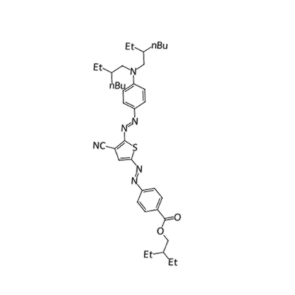 CCCCC(CC)CN(CC(CC)CCCC)c1ccc(/N=N/c2sc(N=Nc3ccc(C(=O)OCC(CC)CC)cc3)cc2C#N)cc1